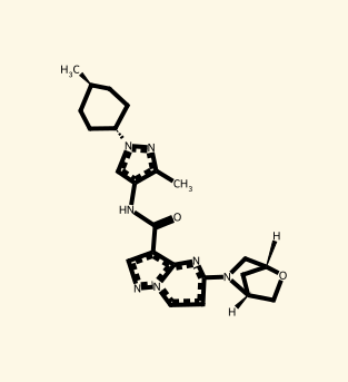 Cc1nn([C@H]2CC[C@H](C)CC2)cc1NC(=O)c1cnn2ccc(N3C[C@H]4C[C@@H]3CO4)nc12